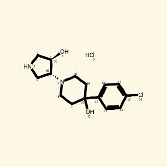 Cl.O[C@@H]1CNC[C@H]1N1CCC(O)(c2ccc(Cl)cc2)CC1